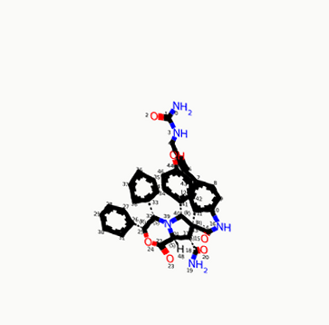 NC(=O)NCC#Cc1ccc2c(c1)[C@]1(C(=O)N2)[C@H](C(N)=O)[C@H]2C(=O)O[C@H](c3ccccc3)[C@H](c3ccccc3)N2[C@@H]1c1ccc(O)cc1